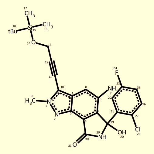 Cn1nc2c3c(c(N)cc2c1C#CCO[Si](C)(C)C(C)(C)C)C(O)(c1cc(F)ccc1Cl)NC3=O